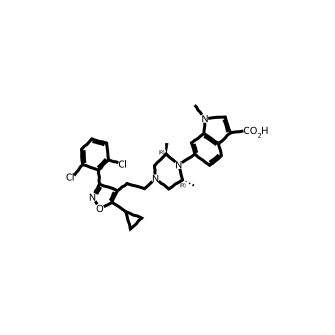 C[C@@H]1CN(CCc2c(-c3c(Cl)cccc3Cl)noc2C2CC2)C[C@@H](C)N1c1ccc2c(C(=O)O)cn(C)c2c1